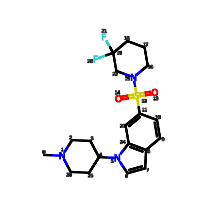 CN1CCC(n2ccc3ccc(S(=O)(=O)N4CCCC(F)(F)C4)cc32)CC1